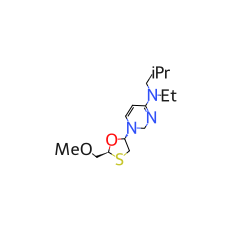 CCN(CC(C)C)C1=NCN([C@H]2CS[C@@H](COC)O2)C=C1